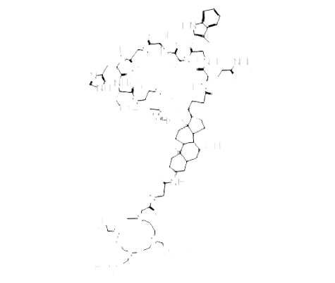 CSCC[C@H](NC(=O)[C@H](CC(C)C)NC(=O)[C@H](Cc1c[nH]cn1)NC(=O)CNC(=O)[C@@H](NC(=O)[C@H](C)NC(=O)[C@H](Cc1c[nH]c2ccccc12)NC(=O)[C@H](CCC(N)=O)NC(=O)CC[C@@H](C)[C@H]1CCC2C3C(C[C@H](O)[C@@]21C)[C@@]1(C)CC[C@H](NC(=O)CNC(=O)CN2CCN(CC(=O)O)CCN(CC(=O)O)CCN(CC(=O)O)CC2)CC1C[C@H]3O)C(C)C)C(N)=O